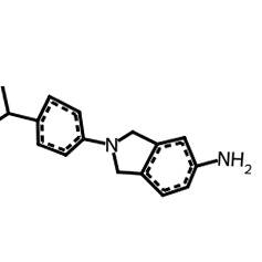 CC(C)c1ccc(N2Cc3ccc(N)cc3C2)cc1